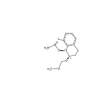 COCO[C@@H]1CCc2cccc(I)c2[C@@H]1OC(N)=O